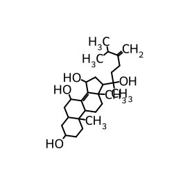 C=C(CCC(C)(O)C1CC(O)C2=C3C(O)CC4CC(O)CCC4(C)C3CCC21C)C(C)C